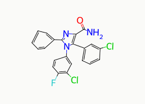 NC(=O)c1nc(-c2ccccc2)n(-c2ccc(F)c(Cl)c2)c1-c1cccc(Cl)c1